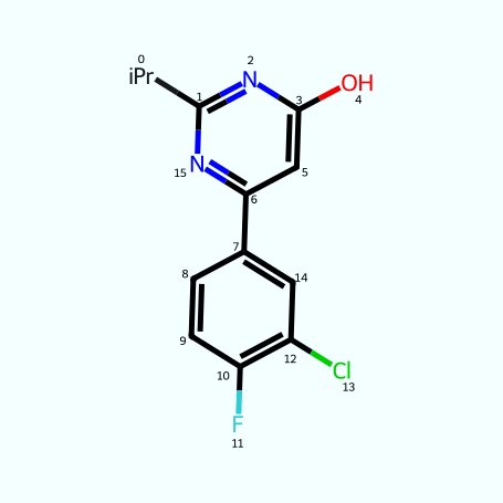 CC(C)c1nc(O)cc(-c2ccc(F)c(Cl)c2)n1